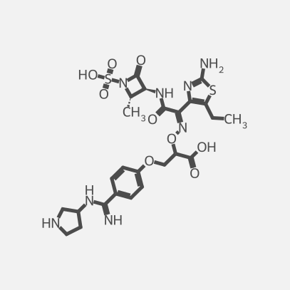 CCc1sc(N)nc1C(=NOC(COc1ccc(C(=N)NC2CCNC2)cc1)C(=O)O)C(=O)N[C@@H]1C(=O)N(S(=O)(=O)O)[C@H]1C